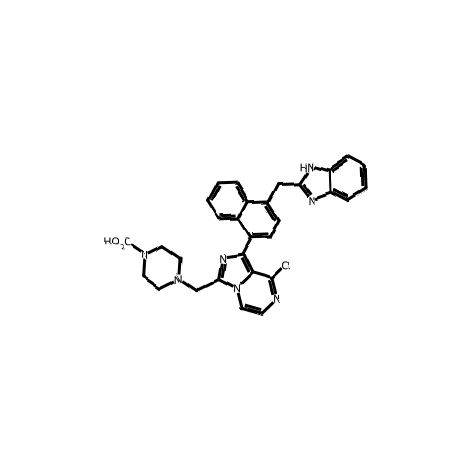 O=C(O)N1CCN(Cc2nc(-c3ccc(Cc4nc5ccccc5[nH]4)c4ccccc34)c3c(Cl)nccn23)CC1